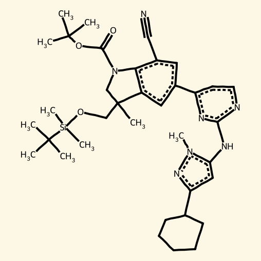 Cn1nc(C2CCCCC2)cc1Nc1nccc(-c2cc(C#N)c3c(c2)C(C)(CO[Si](C)(C)C(C)(C)C)CN3C(=O)OC(C)(C)C)n1